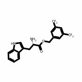 N[C@@H](Cc1c[nH]c2ccccc12)C(=O)OCc1cc(C(F)(F)F)cc(C(F)(F)F)c1